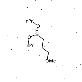 CCCO[SiH](CCCOC)OCCC